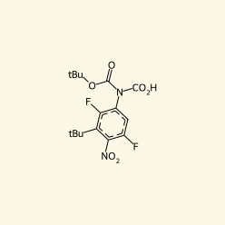 CC(C)(C)OC(=O)N(C(=O)O)c1cc(F)c([N+](=O)[O-])c(C(C)(C)C)c1F